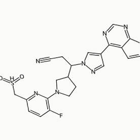 N#CCC(C1CCN(c2nc(C[SH](=O)=O)ccc2F)C1)n1cc(-c2ncnc3[nH]ccc23)cn1